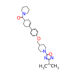 CC(C)c1noc(N2CCC(COc3ccc(C4=CCC(C(=O)N5CCCCC5)CC4)cc3)CC2)n1